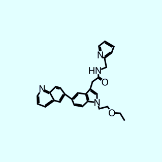 CCOCCn1cc(CC(=O)NCc2ccccn2)c2cc(-c3ccc4ncccc4c3)ccc21